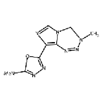 CNc1nnc(-c2ncn3c2N=NN(C)C3)o1